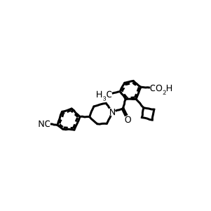 Cc1ccc(C(=O)O)c(C2CCC2)c1C(=O)N1CCC(c2ccc(C#N)cc2)CC1